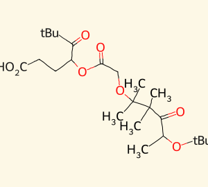 CC(OC(C)(C)C)C(=O)C(C)(C)C(C)(C)OCC(=O)OC(CCC(=O)O)C(=O)C(C)(C)C